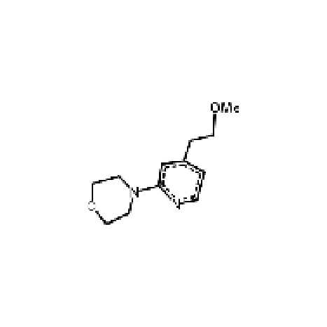 COCCc1ccnc(N2CCOCC2)c1